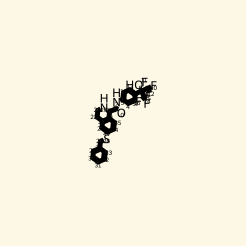 O=C(Nc1ccc(C(O)(C(F)(F)F)C(F)(F)F)cc1)C1NCCc2cc(SCc3ccccc3)ccc21